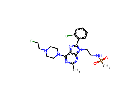 Cc1nc(N2CCN(CCF)CC2)c2nc(-c3ccccc3Cl)n(CCNS(C)(=O)=O)c2n1